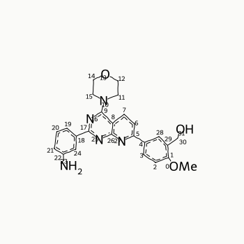 COc1ccc(-c2ccc3c(N4CCOCC4)nc(-c4cccc(N)c4)nc3n2)cc1CO